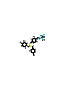 Cc1ccc(C[S+](Cc2ccc(C)cc2)Cc2ccc(C)cc2)cc1.F[B-](F)(F)F